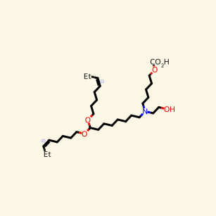 CC/C=C\CCCCOC(CCCCCCCN(CCO)CCCCCOC(=O)O)OCCCC/C=C\CC